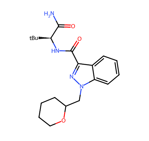 CC(C)(C)[C@H](NC(=O)c1nn(CC2CCCCO2)c2ccccc12)C(N)=O